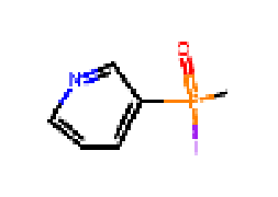 CP(=O)(I)c1cccnc1